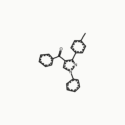 Cc1ccc(-c2nn(-c3ccccc3)cc2C(=O)c2ccccc2)cc1